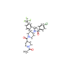 CC(=O)N1CCC(C(=O)N2CCC(N(C)C(=O)c3ccc(Cl)cc3)C(c3ccc(C(F)(F)F)cc3)C2)CC1